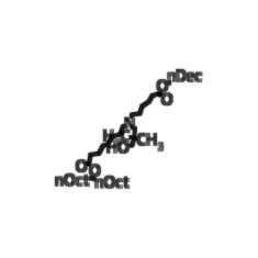 CCCCCCCCCCCOC(=O)CCCCCN(CCCCCCCC(=O)OC(CCCCCCCC)CCCCCCCC)CC(C)(C)CO